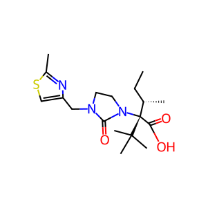 CC[C@H](C)[C@](C(=O)O)(N1CCN(Cc2csc(C)n2)C1=O)C(C)(C)C